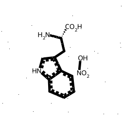 N[C@@H](Cc1c[nH]c2ccccc12)C(=O)O.O=[N+]([O-])O